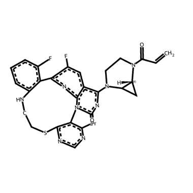 C=CC(=O)N1CCN(c2nc(=O)n3c4nc(c(F)cc24)-c2c(F)cccc2NCCSc2ncnc(C(C)C)c2-3)C2C[C@H]21